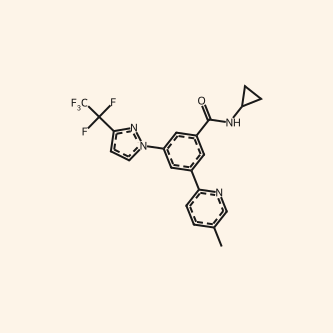 Cc1ccc(-c2cc(C(=O)NC3CC3)cc(-n3ccc(C(F)(F)C(F)(F)F)n3)c2)nc1